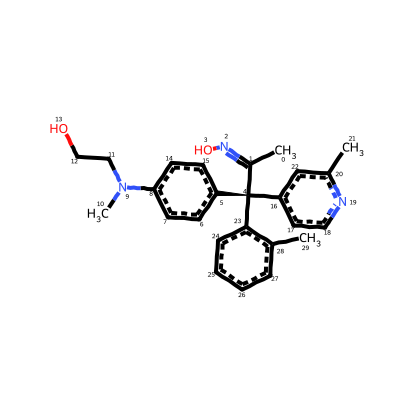 C/C(=N/O)[C@](c1ccc(N(C)CCO)cc1)(c1ccnc(C)c1)c1ccccc1C